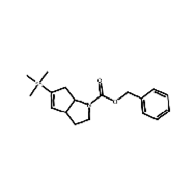 [CH3][Sn]([CH3])([CH3])[C]1=CC2CCN(C(=O)OCc3ccccc3)C2C1